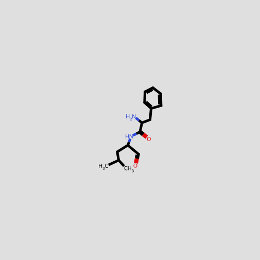 CC(C)CC(C=O)NC(=O)C(N)Cc1ccccc1